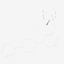 O=C(O)[C@H]1C2CCC(CC2)[C@@H]1Nc1cc(N2CCN(c3ccccc3)CC2)nc(Br)n1